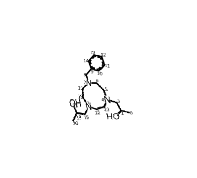 CC(O)CN1CCN(Cc2ccccc2)CCN(CC(C)O)CC1